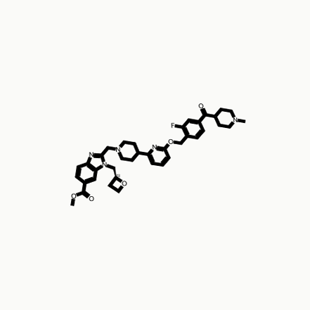 COC(=O)c1ccc2nc(CN3CCC(c4cccc(OCc5ccc(C(=O)C6CCN(C)CC6)cc5F)n4)CC3)n(C[C@@H]3CCO3)c2c1